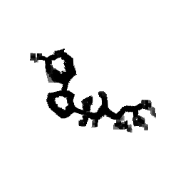 CC(C)C[C@H](N)C(=O)NS(=O)(=O)c1cccc(-c2ccnc(N)n2)c1